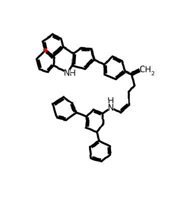 C=C(CC/C=C\NC1=CC(c2ccccc2)=CC(c2ccccc2)C1)c1ccc(-c2ccc(-c3ccccc3)c(Nc3ccccc3)c2)cc1